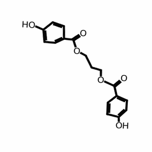 O=C(OCCCOC(=O)c1ccc(O)cc1)c1ccc(O)cc1